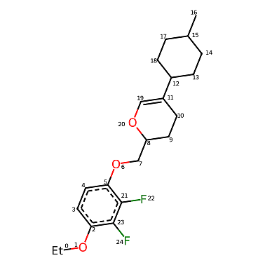 CCOc1ccc(OCC2CCC(C3CCC(C)CC3)=CO2)c(F)c1F